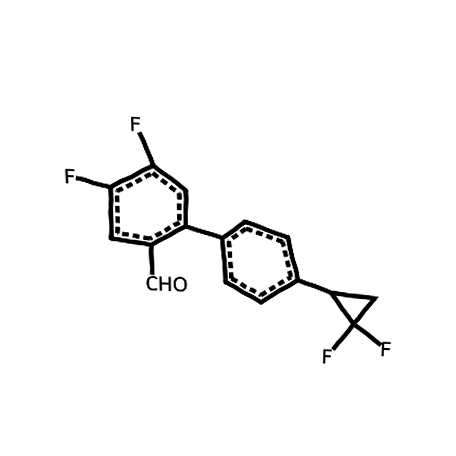 O=Cc1cc(F)c(F)cc1-c1ccc(C2CC2(F)F)cc1